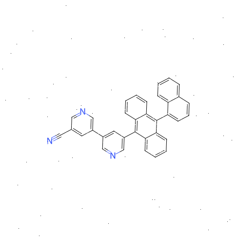 N#Cc1cncc(-c2cncc(-c3c4ccccc4c(-c4cccc5ccccc45)c4ccccc34)c2)c1